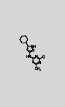 Cc1cc(Nc2cc(C3CCCCC3)[nH]n2)nc(Cl)n1